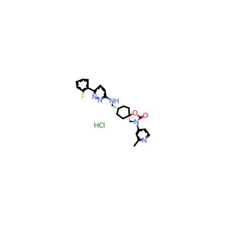 Cc1cc(N2C[C@]3(CC[C@@H](CNc4ccc(-c5ccccc5F)nn4)CC3)OC2=O)ccn1.Cl